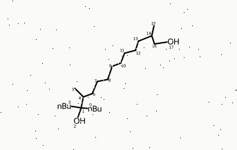 CCCCC(O)(CCCC)C(C)CCCCCCCCC(C)CO